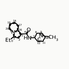 CCc1cc(C(=O)NC2CC3CCC2CN3C)c2ccccn12